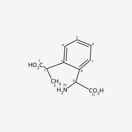 CC(C(=O)O)c1ccccc1C(N)C(=O)O